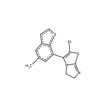 CCC1=C(c2cc(C)cc3ccsc23)N2CCN=C2S1